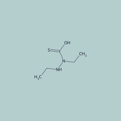 CCNN(CC)C(O)=S